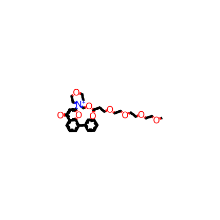 COCCOCCOCCOCCC(=O)OC[N+]1(c2cc(=O)c3cccc(-c4ccccc4)c3o2)CCOCC1